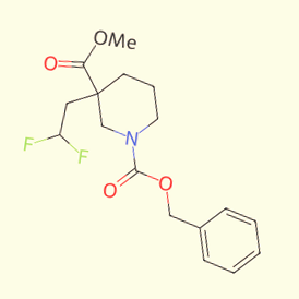 COC(=O)C1(CC(F)F)CCCN(C(=O)OCc2ccccc2)C1